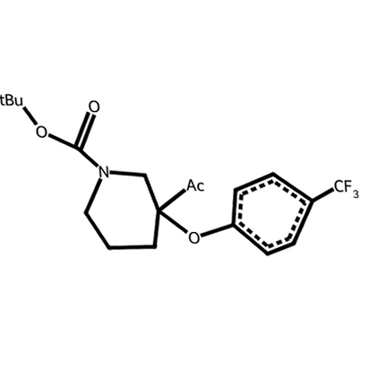 CC(=O)C1(Oc2ccc(C(F)(F)F)cc2)CCCN(C(=O)OC(C)(C)C)C1